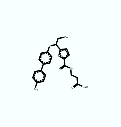 COC(=O)CCNC(=O)c1ccc(C(CC(C)(C)C)Oc2ccc(-c3ccc(C(F)(F)F)cc3)cc2)s1